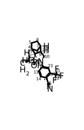 C=CC[C@]12[C@H]3CC[C@H](C3)[C@H]1CN(c1ccc(C#N)c(C(F)(F)F)c1)S2(O)O